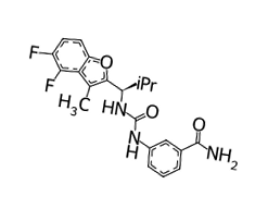 Cc1c([C@H](NC(=O)Nc2cccc(C(N)=O)c2)C(C)C)oc2ccc(F)c(F)c12